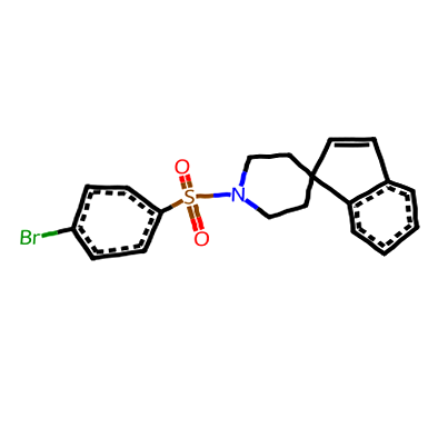 O=S(=O)(c1ccc(Br)cc1)N1CCC2(C=Cc3ccccc32)CC1